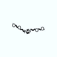 COCCOCCCn1cc[n+](CCCOCCOC)c1